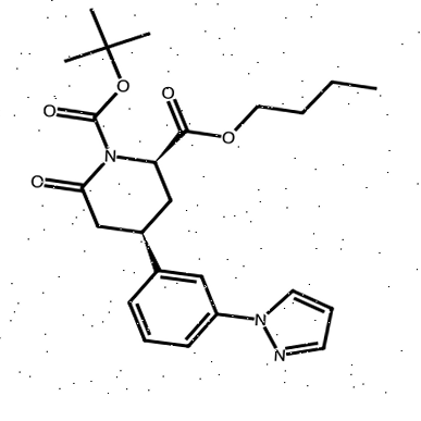 CCCCOC(=O)[C@H]1C[C@@H](c2cccc(-n3cccn3)c2)CC(=O)N1C(=O)OC(C)(C)C